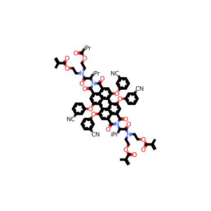 C=C(C)C(=O)OCCN(CCOC(=O)C(=C)C)C(=O)C(C(C)C)N1C(=O)c2cc(Oc3cccc(C#N)c3)c3c4c(Oc5cccc(C#N)c5)cc5c6c(cc(Oc7cccc(C#N)c7)c(c7c(Oc8cccc(C#N)c8)cc(c2c37)C1=O)c64)C(=O)N(C(C(=O)N(CCOC(=O)C(=C)C)CCOC(=O)C(C)C)C(C)C)C5=O